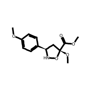 COC(=O)[C@@]1(OC)C[C@H](c2ccc(OC)cc2)NO1